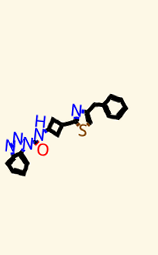 O=C(NC1CC(c2nc(Cc3ccccc3)cs2)C1)n1nnc2ccccc21